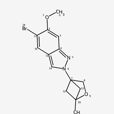 COc1cc2nn(C34COC(C)(C3)C4)cc2cc1Br